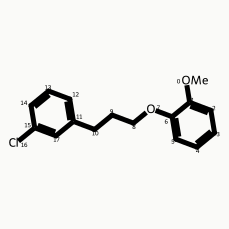 COc1ccccc1OCCCc1cccc(Cl)c1